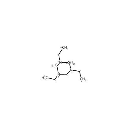 CCN1CN(CC)[SiH2]N(CC)[SiH2]1